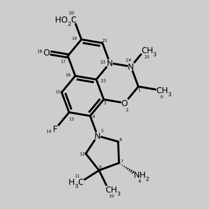 CC1Oc2c(N3C[C@H](N)C(C)(C)C3)c(F)cc3c(=O)c(C(=O)O)cn(c23)N1C